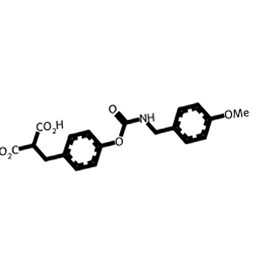 COc1ccc(CNC(=O)Oc2ccc(CC(C(=O)O)C(=O)O)cc2)cc1